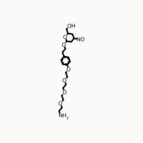 NCCOCCOCCOCCOc1ccc(CCOC2CC(N=O)CC(CO)O2)cc1